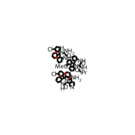 COc1cccc(C2(c3ccccc3)NC(NC(=O)C(C)C)C(=O)Nc3ccccc32)c1.NC(=O)c1ccncc1C1NC(c2ccccc2)(c2cccc(Cl)c2)c2ccccc2NC1=O.NC1NC(c2ccccc2)(c2cccc(Cl)c2)c2ccccc2NC1=O